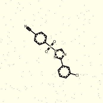 N#Cc1ccc(S(=O)(=O)n2cnc(-c3cccc(Cl)c3)n2)cc1